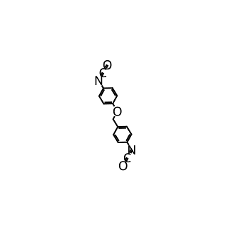 O=C=Nc1ccc(COc2ccc(N=C=O)cc2)cc1